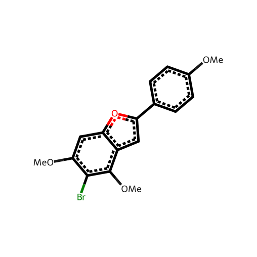 COc1ccc(-c2cc3c(OC)c(Br)c(OC)cc3o2)cc1